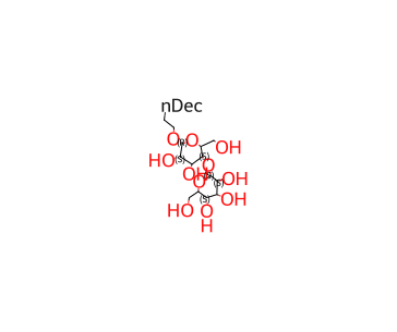 CCCCCCCCCCCCO[C@@H]1OC(CO)[C@@H](O[C@@H]2OC(CO)[C@@H](O)C(O)[C@@H]2O)C(O)[C@@H]1O